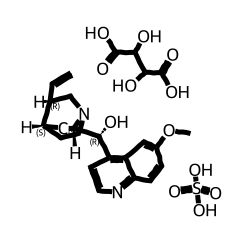 C=C[C@H]1CN2CC[C@H]1C[C@H]2[C@H](O)c1ccnc2ccc(OC)cc12.O=C(O)C(O)C(O)C(=O)O.O=S(=O)(O)O